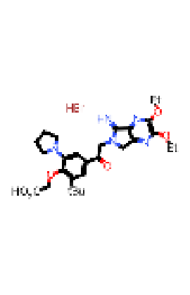 Br.CCOc1nc2c(nc1OCC)C(=N)N(CC(=O)c1cc(N3CCCC3)c(OCC(=O)O)c(C(C)(C)C)c1)C2